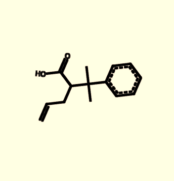 C=CCC(C(=O)O)C(C)(C)c1ccccc1